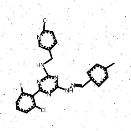 Cc1ccc(C=NNc2nc(NCc3ccc(Cl)nc3)nc(-c3c(F)cccc3Cl)n2)cc1